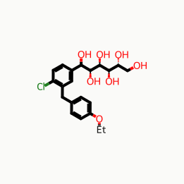 CCOc1ccc(Cc2cc(C(O)[C@H](O)[C@@H](O)[C@H](O)[C@H](O)CO)ccc2Cl)cc1